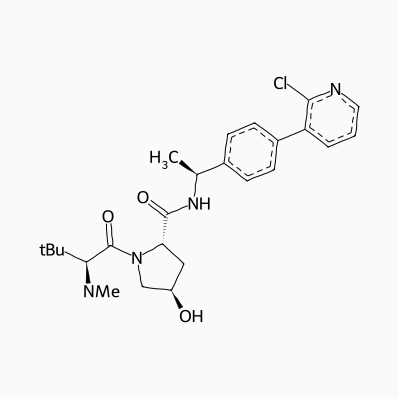 CN[C@H](C(=O)N1C[C@H](O)C[C@H]1C(=O)N[C@@H](C)c1ccc(-c2cccnc2Cl)cc1)C(C)(C)C